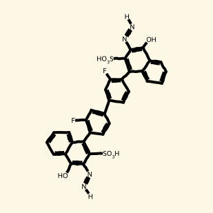 [H]/N=N/c1c(S(=O)(=O)O)c(-c2ccc(-c3ccc(-c4c(S(=O)(=O)O)c(/N=N/[H])c(O)c5ccccc45)c(F)c3)cc2F)c2ccccc2c1O